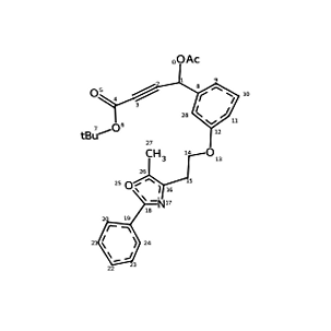 CC(=O)OC(C#CC(=O)OC(C)(C)C)c1cccc(OCCc2nc(-c3ccccc3)oc2C)c1